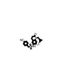 CCOC(=O)C1CC1CN1C(=O)CCc2cc(NS(=O)(=O)Cc3ccc(C#N)cc3)ccc21